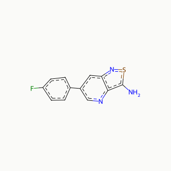 Nc1snc2cc(-c3ccc(F)cc3)cnc12